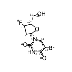 O=c1[nH]c(=O)n([C@@H]2CC(F)[C@H](CO)O2)cc1Br